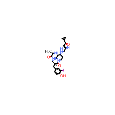 C[C@H](N)C(=O)NC[C@H](Cc1ccc(O)c(I)c1)C(=O)N1CCC(NCc2cc(C3CC3)on2)CC1